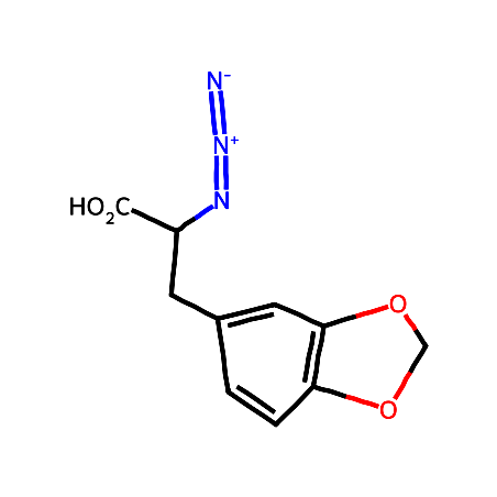 [N-]=[N+]=NC(Cc1ccc2c(c1)OCO2)C(=O)O